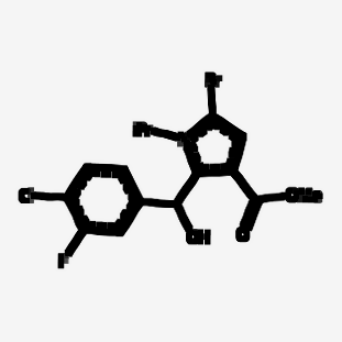 COC(=O)c1cc(Br)n(C(C)C)c1C(O)c1ccc(Cl)c(F)c1